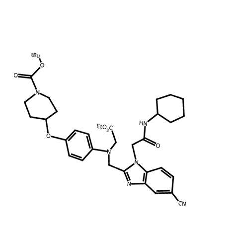 CCOC(=O)CN(Cc1nc2cc(C#N)ccc2n1CC(=O)NC1CCCCC1)c1ccc(OC2CCN(C(=O)OC(C)(C)C)CC2)cc1